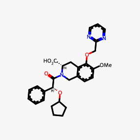 COc1ccc2c(c1OCc1ncccn1)C[C@@H](C(=O)O)N(C(=O)[C@H](OC1CCCC1)c1ccccc1)C2